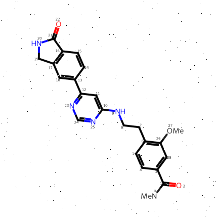 CNC(=O)c1ccc(CCNc2cc(-c3ccc4c(c3)CNC4=O)ncn2)c(OC)c1